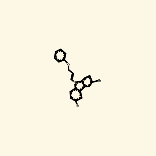 Brc1ccc2c(c1)c1cc(Br)ccc1n2/C=C/COc1ccccc1